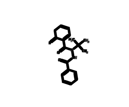 CC(C)(C)N(NC(=O)c1ccccc1)C(=O)C1=CC=CCC1=S